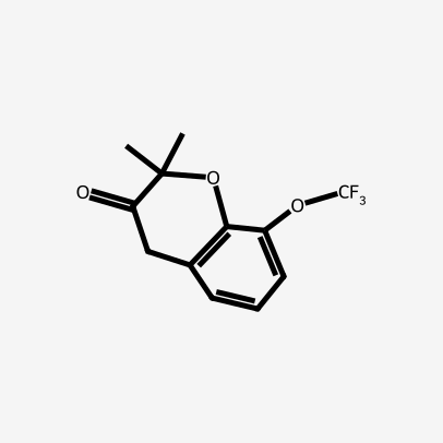 CC1(C)Oc2c(cccc2OC(F)(F)F)CC1=O